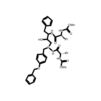 COC(=O)N[C@H](C(=O)NC(Cc1ccccc1)C(O)CN(Cc1ccc(OCc2ccccc2)cc1)NC(=O)[C@@H](NC(=O)OC)C(C)C)C(C)C